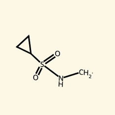 [CH2]NS(=O)(=O)C1CC1